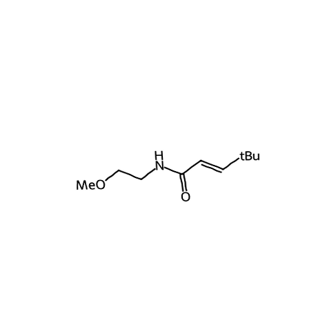 COCCNC(=O)/C=C/C(C)(C)C